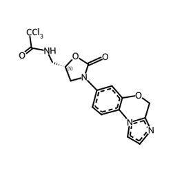 O=C1O[C@@H](CNC(=O)C(Cl)(Cl)Cl)CN1c1ccc2c(c1)OCc1nccn1-2